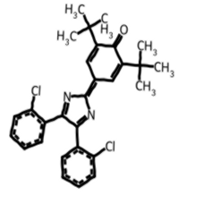 CC(C)(C)C1=CC(=C2N=C(c3ccccc3Cl)C(c3ccccc3Cl)=N2)C=C(C(C)(C)C)C1=O